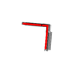 [Fe+3].[Fe+3].[Fe+3].[Fe+3].[Fe+3].[Fe+3].[Fe+3].[Fe+3].[Fe+3].[Fe+3].[Fe+3].[Fe+3].[Fe+3].[Fe+3].[Fe+3].[Fe+3].[Fe+3].[Fe+3].[Fe+3].[Fe+3].[Fe+3].[Fe+3].[Fe+3].[Fe+3].[Fe+3].[Fe+3].[Fe+3].[Fe+3].[Fe+3].[Fe+3].[Fe+3].[Fe+3].[Fe+3].[Fe+3].[Fe+3].[Fe+3].[Fe+3].[Fe+3].[Fe+3].[Fe+3].[Fe+3].[Fe+3].[Fe+3].[Fe+3].[Fe+3].[Fe+3].[Fe+3].[O-2].[O-2].[O-2].[O-2].[O-2].[O-2].[O-2].[O-2].[O-2].[O-2].[O-2].[O-2].[O-2].[O-2].[O-2].[O-2].[O-2]